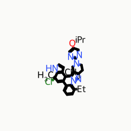 CCc1cccc2c1-n1nc3c(c1C1(C)C2=CC(C)(Cl)c2[nH]ccc21)CN(c1ncc(OC(C)C)cn1)CC3